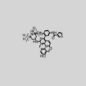 Cc1ccc(NC(=O)c2ccsc2)cc1-c1nc(NC2CC(C)(C)NC(C)(C)C2)nc2c1ccc(=O)n2-c1c(F)cccc1F.Cl